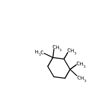 C[C]1C(C)(C)CCCC1(C)C